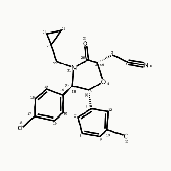 N#CC[C@@H]1O[C@H](c2cccc(Cl)c2)[C@@H](c2ccc(Cl)cc2)N(CC2CC2)C1=O